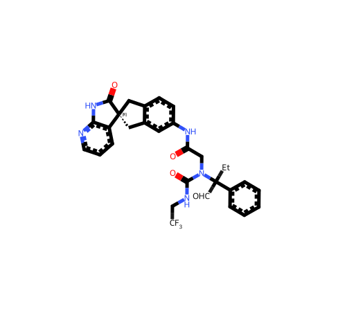 CCC(C=O)(c1ccccc1)N(CC(=O)Nc1ccc2c(c1)C[C@@]1(C2)C(=O)Nc2ncccc21)C(=O)NCC(F)(F)F